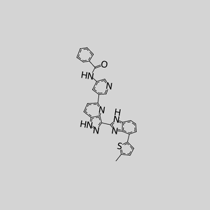 Cc1ccc(-c2cccc3[nH]c(-c4n[nH]c5ccc(-c6cncc(NC(=O)c7ccccc7)c6)nc45)nc23)s1